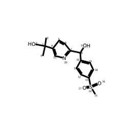 CC(C)(O)c1ccc(C(O)c2ccc(S(C)(=O)=O)cc2)nc1